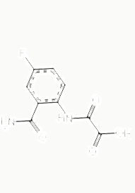 NC(=O)c1cc(F)ccc1NC(=O)C(=O)O